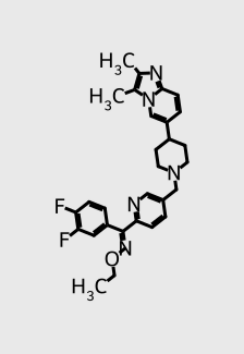 CCON=C(c1ccc(F)c(F)c1)c1ccc(CN2CCC(c3ccc4nc(C)c(C)n4c3)CC2)cn1